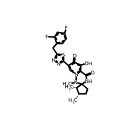 C[C@H]1CCC2(NC(=O)c3c(O)c(=O)c(-c4nnc(Cc5ccc(F)cc5F)s4)cn3N2C)[C@H]1C